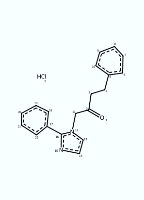 Cl.O=C(CCc1ccccc1)Cn1ccnc1-c1ccccc1